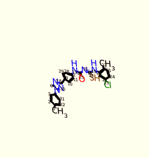 Cc1ccc(-n2cnc(-c3ccc(NC(=O)/N=C(\S)Nc4cc(Cl)ccc4C)cc3)n2)cc1